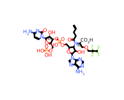 C=CCCC(=O)N(C1C(COP(=O)(O)O[C@H]2[C@@H](O)[C@H](n3ccc(N)nc3=O)O[C@@H]2COP(=O)(O)O)OC(n2cnc3c(N)ncnc32)C1O)[C@H](COCC(F)(F)C(F)F)C(=O)O